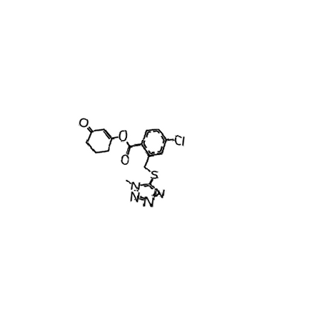 Cn1nnnc1SCc1cc(Cl)ccc1C(=O)OC1=CC(=O)CCC1